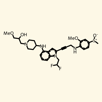 COCC(O)CN1CCC(Nc2cccc3c2cc(C#CCNc2ccc([S+](C)[O-])cc2OC)n3CC(F)F)CC1